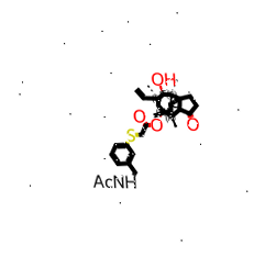 C=C[C@]1(C)C[C@@H](OC(=O)CSc2cccc(CNC(C)=O)c2)[C@]2(C)C(C)CCC3(CCC(=O)C32)[C@@H](C)[C@@H]1O